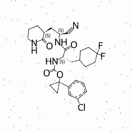 N#C[C@H](C[C@@H]1CCCNC1=O)NC(=O)[C@H](CC1CCC(F)(F)CC1)NC(=O)OC1(c2cccc(Cl)c2)CC1